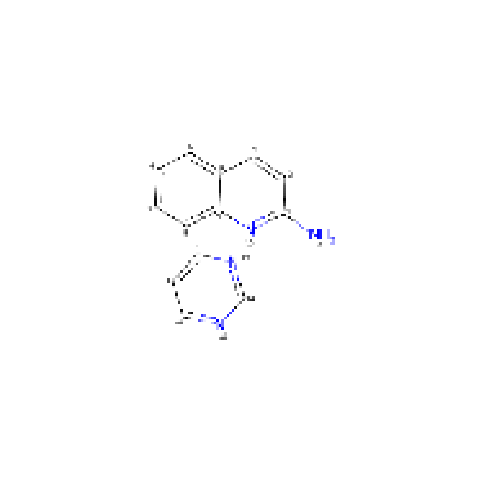 Nc1ccc2ccccc2n1.c1cncnc1